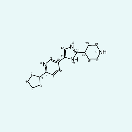 c1cc(C2CCCC2)ncc1-c1cnc(C2CCNCC2)[nH]1